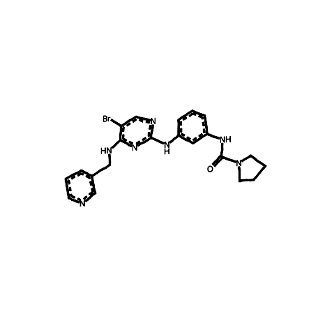 O=C(Nc1cccc(Nc2ncc(Br)c(NCc3cccnc3)n2)c1)N1CCCC1